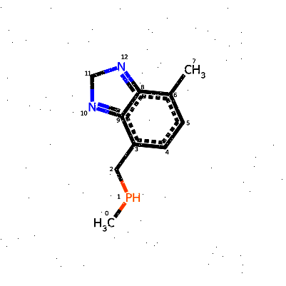 CPCc1ccc(C)c2c1=NCN=2